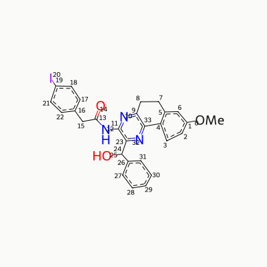 COc1ccc2c(c1)CCc1nc(NC(=O)Cc3ccc(I)cc3)c(C(O)c3ccccc3)nc1-2